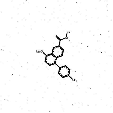 COc1ccc(-c2ccc(C(F)(F)F)cc2)c2ccc(C(=O)NC(C)C)cc12